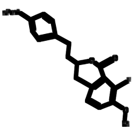 CCCCCc1ccc(CCC2Cc3ccc(OCC)c(F)c3C(=O)O2)cc1